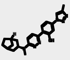 Cc1cn(-c2ccc(-c3ccc(N(C)[C@H]4CC5CC[C@@H](C5)C4)nn3)c(O)c2)nn1